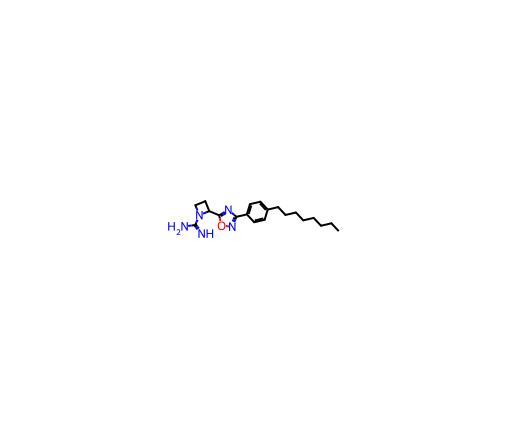 CCCCCCCCc1ccc(-c2noc(C3CCN3C(=N)N)n2)cc1